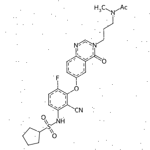 CC(=O)N(C)CCCn1cnc2ccc(Oc3c(F)ccc(NS(=O)(=O)C4CCCC4)c3C#N)cc2c1=O